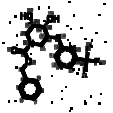 O=C(OCc1ccccc1)N1C[C@H](Sc2cncc(C(F)(F)F)n2)[C@@H](O)[C@@H](O)C1